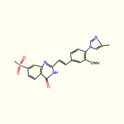 COc1cc(/C=C/c2nc3cc(S(C)(=O)=O)ccc3c(=O)[nH]2)ccc1-n1cnc(C)c1